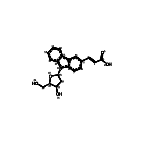 O=C(O)/C=C/c1ccc2c(c1)c1ccccc1n2[C@H]1C[C@@H](O)[C@@H](CO)O1